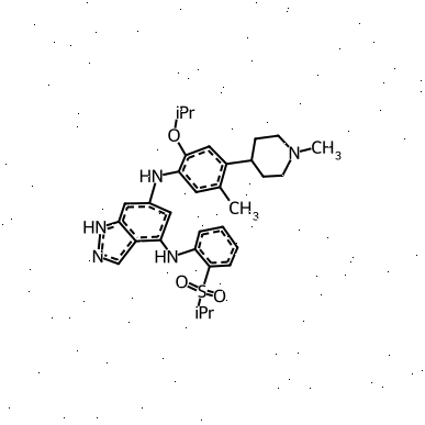 Cc1cc(Nc2cc(Nc3ccccc3S(=O)(=O)C(C)C)c3cn[nH]c3c2)c(OC(C)C)cc1C1CCN(C)CC1